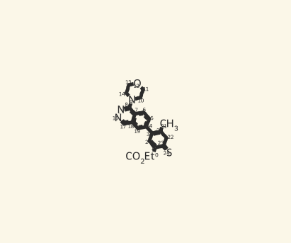 CCOC(=O)C1=CC(c2ccc3c(N4CCOCC4)nncc3c2)=C(C)CC1=S